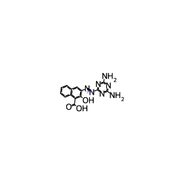 Nc1nc(N)nc(/N=N/c2cc3ccccc3c(C(=O)O)c2O)n1